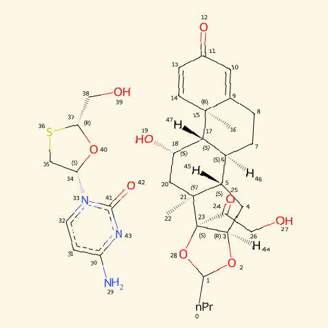 CCCC1O[C@@H]2C[C@H]3[C@@H]4CCC5=CC(=O)C=C[C@]5(C)[C@H]4[C@@H](O)C[C@]3(C)[C@]2(C(=O)CO)O1.Nc1ccn([C@@H]2CS[C@H](CO)O2)c(=O)n1